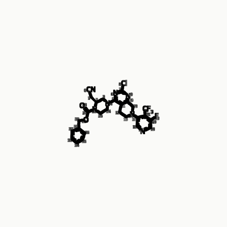 N#CC[C@H]1CN(c2nc(Cl)nc3c2CCN(c2cncc(F)c2C(F)(F)F)C3)CCN1C(=O)OCc1ccccc1